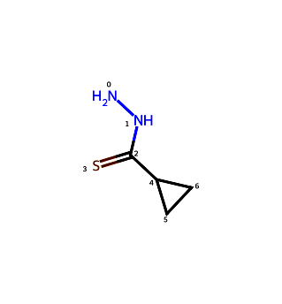 NNC(=S)C1CC1